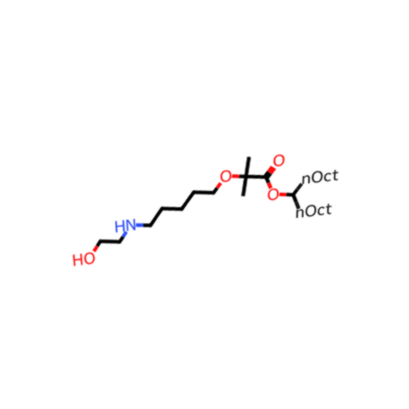 CCCCCCCCC(CCCCCCCC)OC(=O)C(C)(C)OCCCCCNCCO